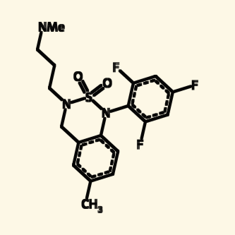 CNCCCN1Cc2cc(C)ccc2N(c2c(F)cc(F)cc2F)S1(=O)=O